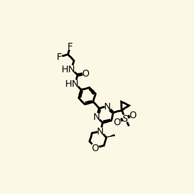 C[C@H]1COCCN1c1cc(C2(S(C)(=O)=O)CC2)nc(-c2ccc(NC(=O)NCC(F)F)cc2)n1